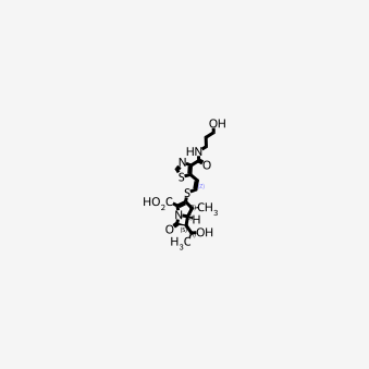 C[C@@H](O)[C@H]1C(=O)N2C(C(=O)O)=C(S/C=C\c3scnc3C(=O)NCCCO)[C@H](C)[C@H]12